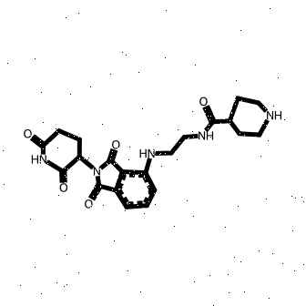 O=C1CCC(N2C(=O)c3cccc(NCCNC(=O)C4CCNCC4)c3C2=O)C(=O)N1